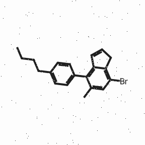 CCCCc1ccc(-c2c(C)cc(Br)c3c2C=CC3)cc1